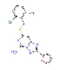 Nc1nc(SCc2c(Cl)cccc2Cl)cc2nc(-c3ccco3)nn12